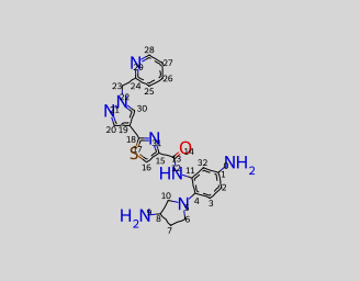 Nc1ccc(N2CCC(N)C2)c(NC(=O)c2csc(-c3cnn(Cc4ccccn4)c3)n2)c1